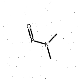 CN(C)P=O